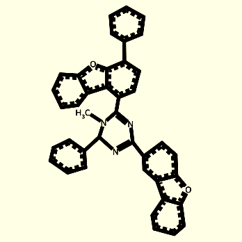 CN1C(c2ccc(-c3ccccc3)c3oc4ccccc4c23)=NC(c2ccc3oc4ccccc4c3c2)=NC1c1ccccc1